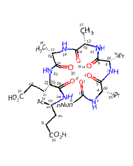 CCCCCCCCCC(=O)N[C@H](C(=O)N[C@H](C(=O)N[C@@H](C)C(=O)N[C@@H](C)C(=O)N[C@@H](CCC(=O)O)C(=O)N[C@@H](CCC(=O)O)C(C)=O)C(C)C)C(C)C